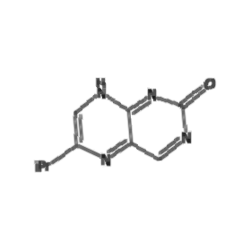 CC(C)c1c[nH]c2nc(=O)ncc-2n1